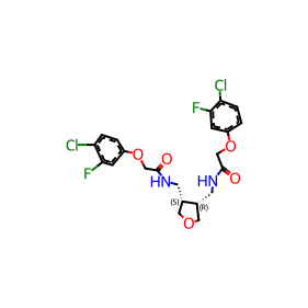 O=C(COc1ccc(Cl)c(F)c1)NC[C@@H]1COC[C@@H]1CNC(=O)COc1ccc(Cl)c(F)c1